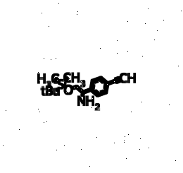 C#Cc1ccc(C(N)CO[Si](C)(C)C(C)(C)C)cc1